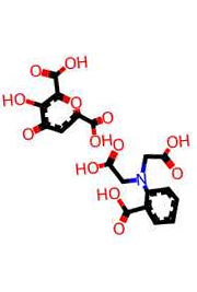 O=C(O)CN(CC(=O)O)c1ccccc1C(=O)O.O=C(O)c1cc(=O)c(O)c(C(=O)O)o1